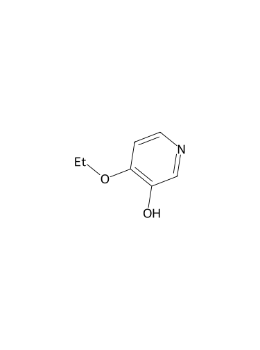 CCOc1ccncc1O